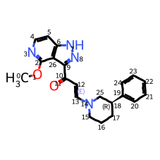 COc1nccc2[nH]nc(C(=O)/C=C/N3CCC[C@H](c4ccccc4)C3)c12